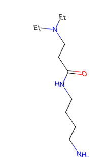 CCN(CC)CCC(=O)NCCCCN